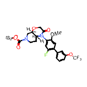 COc1cc(-c2cccc(OC(F)(F)F)c2)c(F)cc1N1C(=O)CO[C@@H]2CN(C(=O)OC(C)(C)C)CC[C@H]21